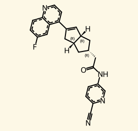 N#Cc1ccc(NC(=O)C[C@@H]2C[C@@H]3CC(c4ccnc5ccc(F)cc45)=C[C@@H]3C2)cn1